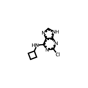 Clc1nc(NC2CCC2)c2nc[nH]c2n1